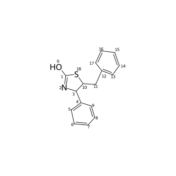 OC1=NC(c2ccccc2)C(Cc2ccccc2)S1